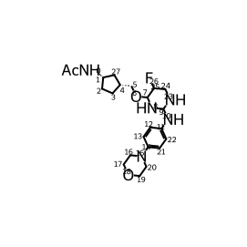 CC(=O)N[C@H]1CC[C@@H](COC2NC(Nc3ccc(N4CCOCC4)cc3)NCC2F)C1